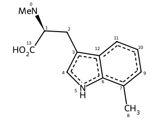 CN[C@@H](Cc1c[nH]c2c(C)cccc12)C(=O)O